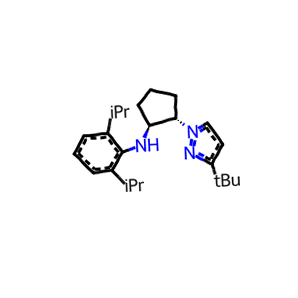 CC(C)c1cccc(C(C)C)c1N[C@H]1CCC[C@@H]1n1ccc(C(C)(C)C)n1